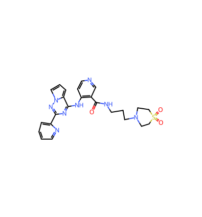 O=C(NCCCN1CCS(=O)(=O)CC1)c1cnccc1Nc1nc(-c2ccccn2)nn2cccc12